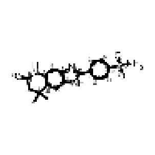 CC1(C)CC(=O)Nc2cc3nc(-c4ccc(S(N)(=O)=O)cc4)[nH]c3cc21